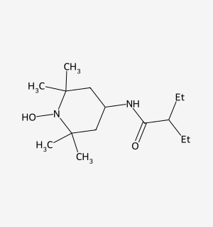 CCC(CC)C(=O)NC1CC(C)(C)N(O)C(C)(C)C1